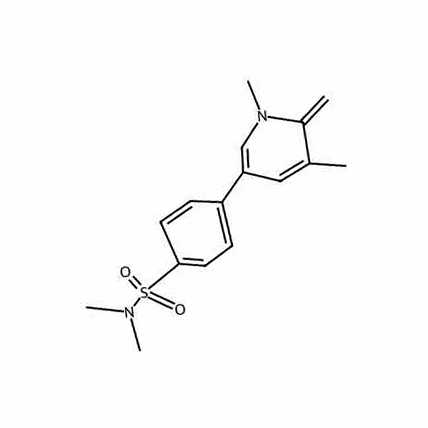 C=C1C(C)=CC(c2ccc(S(=O)(=O)N(C)C)cc2)=CN1C